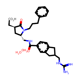 N=C(N)NCC1Cc2ccc(C(=O)NC[C@@H]3C[C@@H](CC(=O)O)C(=O)N3CCCc3ccccc3)cc2C1.O.O